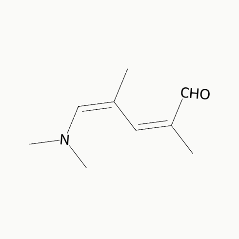 C/C(C=O)=C/C(C)=C\N(C)C